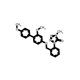 COc1ccc(-c2ccc(OCc3ccccc3-n3nnn(C)c3=O)cc2OC)cc1